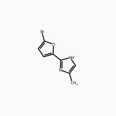 Cc1c[nH]c(-c2ccc(Br)o2)n1